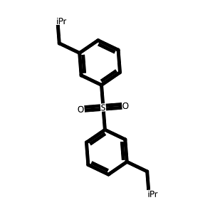 CC(C)Cc1cccc(S(=O)(=O)c2cccc(CC(C)C)c2)c1